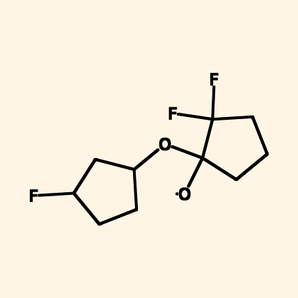 [O]C1(OC2CCC(F)C2)CCCC1(F)F